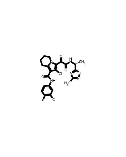 Cc1noc([C@@H](C)NC(=O)C(=O)c2c(Cl)c(C(=O)Nc3ccc(F)c(Cl)c3)c3n2CCCC3)n1